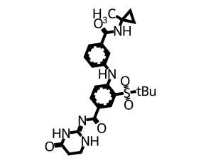 CC1(NC(=O)c2cccc(Nc3ccc(C(=O)/N=C4\NCCC(=O)N4)cc3S(=O)(=O)C(C)(C)C)c2)CC1